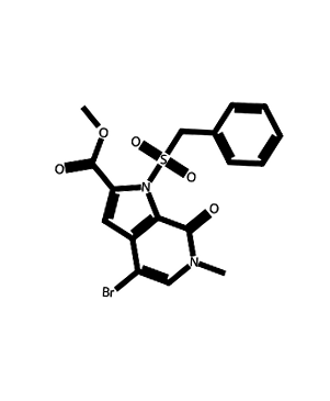 COC(=O)c1cc2c(Br)cn(C)c(=O)c2n1S(=O)(=O)Cc1ccccc1